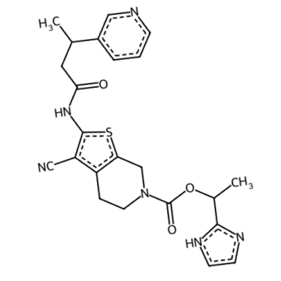 CC(CC(=O)Nc1sc2c(c1C#N)CCN(C(=O)OC(C)c1ncc[nH]1)C2)c1cccnc1